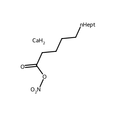 CCCCCCCCCCCC(=O)O[N+](=O)[O-].[CaH2]